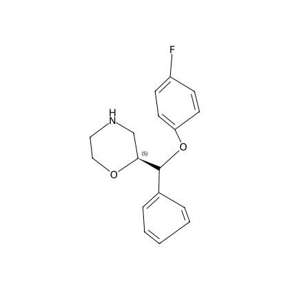 Fc1ccc(OC(c2ccccc2)[C@@H]2CNCCO2)cc1